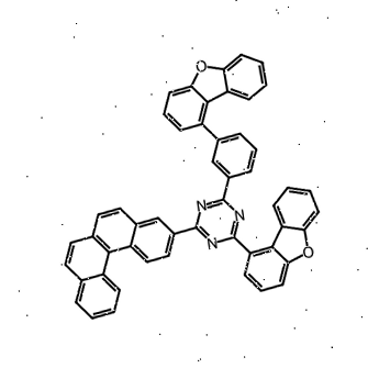 c1cc(-c2nc(-c3ccc4c(ccc5ccc6ccccc6c54)c3)nc(-c3cccc4oc5ccccc5c34)n2)cc(-c2cccc3oc4ccccc4c23)c1